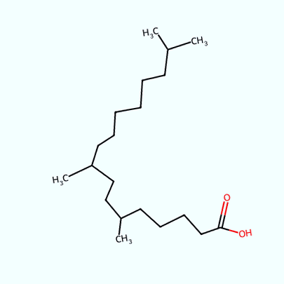 CC(C)CCCCCCC(C)CCC(C)CCCCC(=O)O